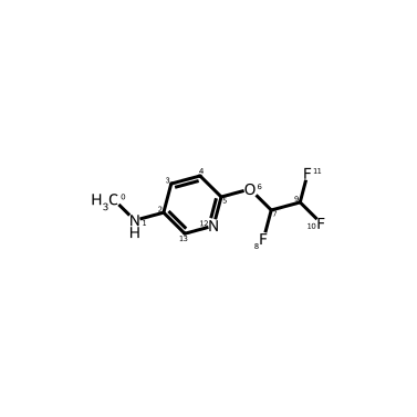 CNc1ccc(OC(F)C(F)F)nc1